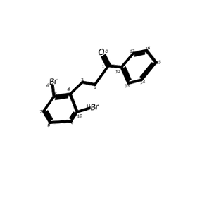 O=C(CCc1c(Br)cccc1Br)c1ccccc1